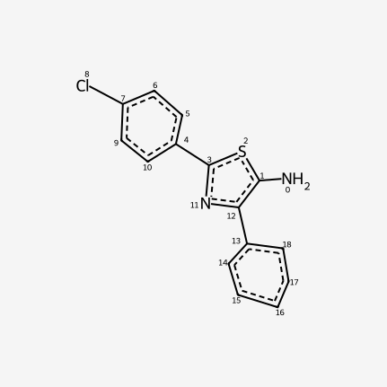 Nc1sc(-c2ccc(Cl)cc2)nc1-c1ccccc1